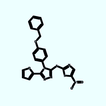 O=[N+]([O-])c1cnc(Sc2nnc(-c3ccco3)n2-c2ccc(OCc3ccccc3)cc2)s1